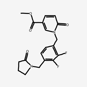 COC(=O)c1ccc(=O)n(Cc2ccc(CN3CCCC3=O)c(F)c2F)c1